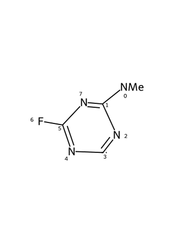 CNc1n[c]nc(F)n1